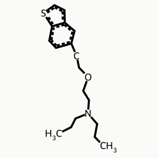 CCCN(CCC)CCOCCc1ccc2sccc2c1